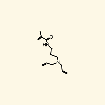 C=CCN(CC=C)CC[CH]NC(=O)C(=C)C